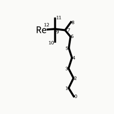 CCCCCCCC(C)[C](C)(C)[Re]